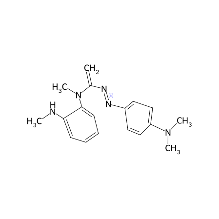 C=C(/N=N/c1ccc(N(C)C)cc1)N(C)c1ccccc1NC